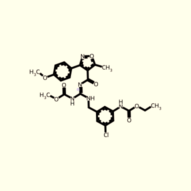 CCOC(=O)Nc1cc(Cl)cc(CN/C(=N\C(=O)c2c(-c3ccc(OC)cc3)noc2C)NC(=O)OC)c1